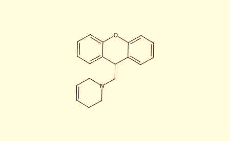 C1=CCN(CC2c3ccccc3Oc3ccccc32)CC1